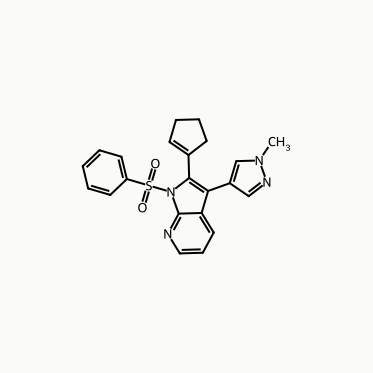 Cn1cc(-c2c(C3=CCCC3)n(S(=O)(=O)c3ccccc3)c3ncccc23)cn1